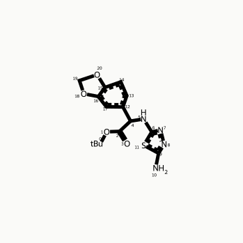 CC(C)(C)OC(=O)C(Nc1nnc(N)s1)c1ccc2c(c1)OCO2